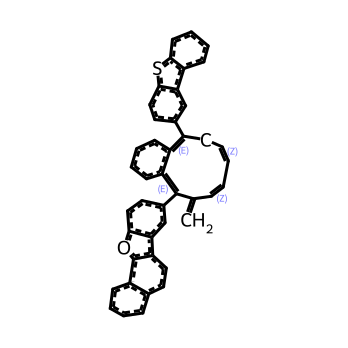 C=C1/C=C\C=C/C/C(c2ccc3sc4ccccc4c3c2)=c2/cccc/c2=C/1c1ccc2oc3c4ccccc4ccc3c2c1